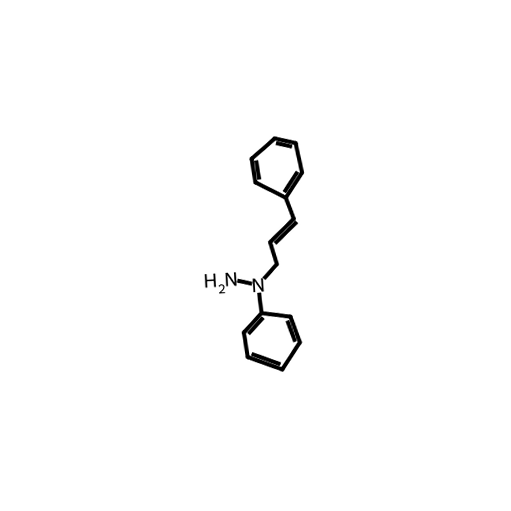 NN(CC=Cc1ccccc1)c1ccccc1